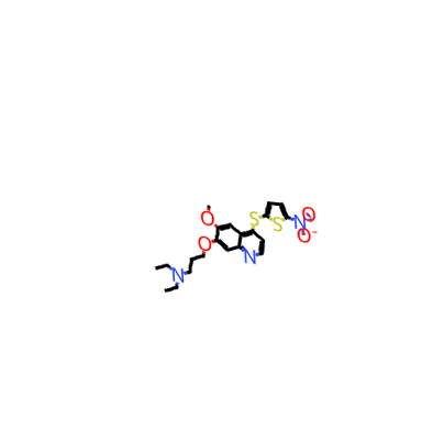 CCN(CC)CCCOc1cc2nccc(Sc3ccc([N+](=O)[O-])s3)c2cc1OC